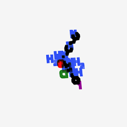 N/C(=N\C(=O)c1nc(Cl)c(NCc2ccc(I)cc2)nc1N)NCC1CCN(CCc2cccnc2)CC1